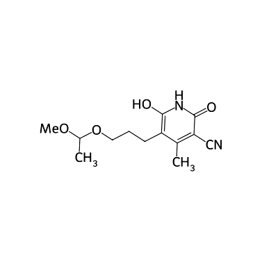 COC(C)OCCCc1c(O)[nH]c(=O)c(C#N)c1C